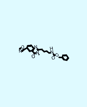 Cn1c(CCCCNC(=O)OCc2ccccc2)nc2ccc(-c3cnco3)cc2c1=O